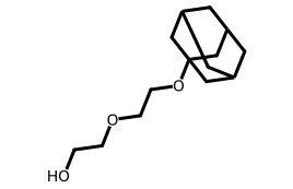 OCCOCCOC12CC3CC(CC(C3)C1)C2